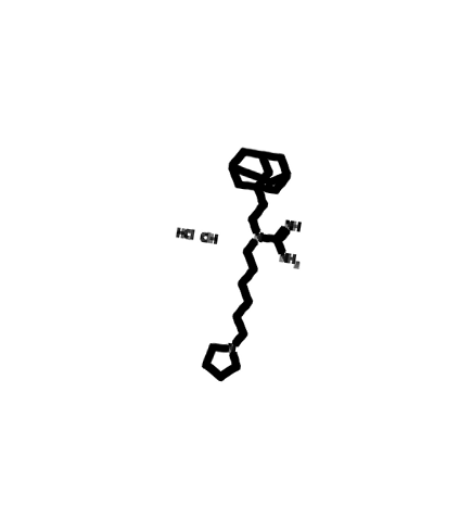 Cl.Cl.N=C(N)N(CCCCCCN1CCCC1)CCC12CC3CC(CC(C3)C1)C2